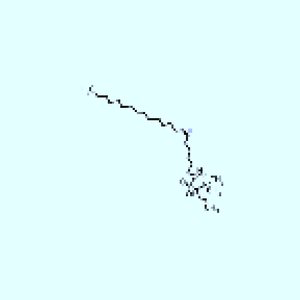 CCCCCCCCCCCCCC/C=C\CCCCCOP(=O)(O)C(CCC)[N+](C)(C)C